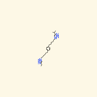 CCc1cn(CCCCCCc2ccc(CCCCCCn3cc(C(C)C)nn3)cc2)nn1